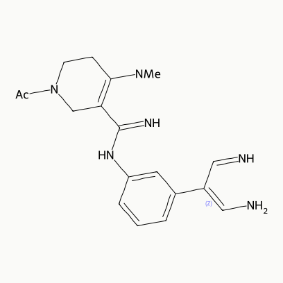 CNC1=C(C(=N)Nc2cccc(/C(C=N)=C/N)c2)CN(C(C)=O)CC1